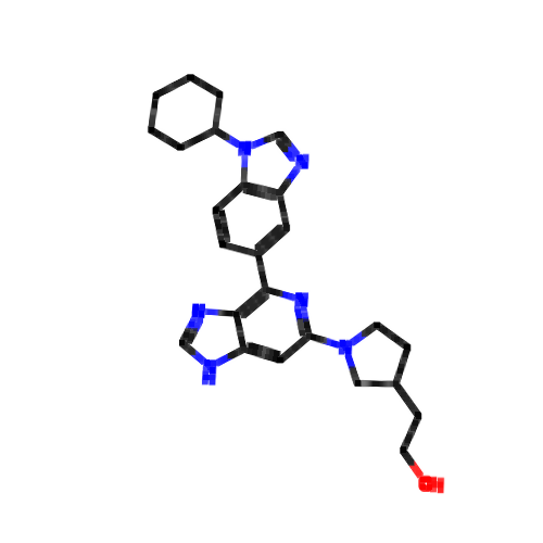 OCCC1CCN(c2cc3[nH]cnc3c(-c3ccc4c(c3)ncn4C3CCCCC3)n2)C1